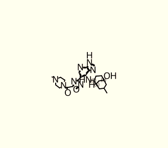 CC1C[C@H]2C[C@](O)(CC[C@@H]2Nc2c(-c3noc(C(=O)N4CCN(C)CC4)n3)cnc3[nH]cnc23)C1